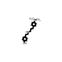 CN(C)c1ccc(C=CCNCCc2ccc(O)cc2)cc1